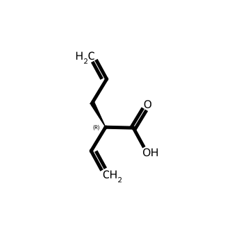 C=CC[C@H](C=C)C(=O)O